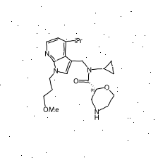 COCCCn1cc(CN(C(=O)[C@H]2CNCCO2)C2CC2)c2c(C(C)C)ccnc21